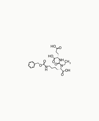 CCN(C(=O)N[C@@H](CCC(=O)O)C(=O)O)[C@@H](CCCCNC(=O)OCc1ccccc1)C(=O)O